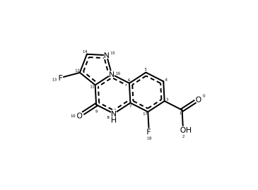 O=C(O)c1ccc2c([nH]c(=O)c3c(F)cnn32)c1F